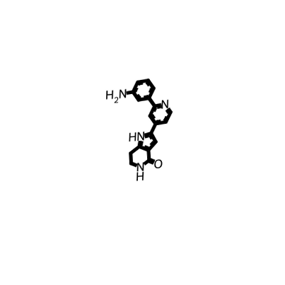 Nc1cccc(-c2cc(-c3cc4c([nH]3)CCNC4=O)ccn2)c1